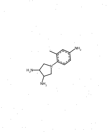 Cc1cc(N)ccc1N1CC(N)C(N)C1